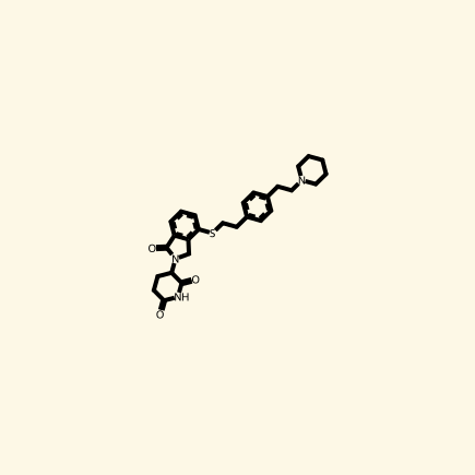 O=C1CCC(N2Cc3c(SCCc4ccc(CCN5CCCCC5)cc4)cccc3C2=O)C(=O)N1